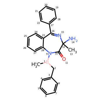 CB(Cc1ccccc1)N1C(=O)C(C)(N)N=C(c2ccccc2)c2ccccc21